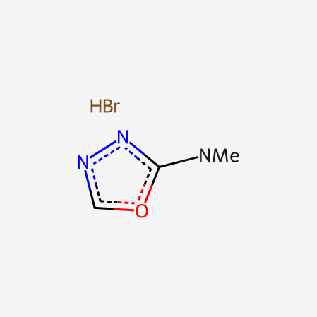 Br.CNc1nnco1